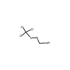 CCCC[N]SC(Cl)(Cl)Cl